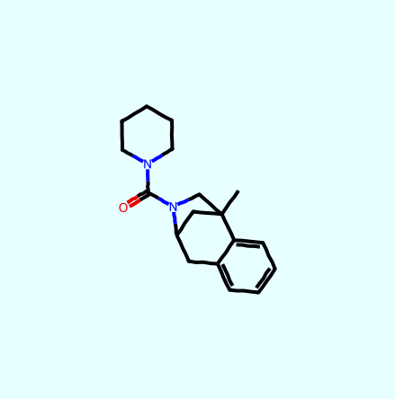 CC12CC(Cc3ccccc31)N(C(=O)N1CCCCC1)C2